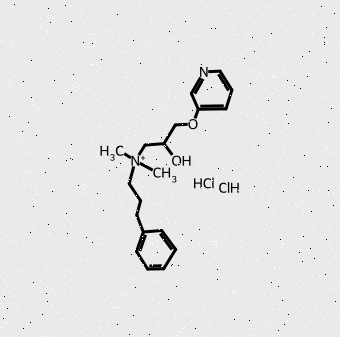 C[N+](C)(CCCc1ccccc1)CC(O)COc1cccnc1.Cl.Cl